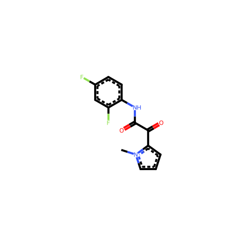 Cn1cccc1C(=O)C(=O)Nc1ccc(F)cc1F